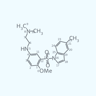 COc1ccc(NCCN(C)C)cc1S(=O)(=O)n1ccc2cc(C)ccc21